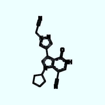 N#CCn1cc(-c2cn(C3CCCC3)c3c(C#N)c[nH]c(=O)c23)cn1